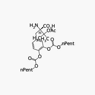 CCCCCOC(=O)Oc1ccc(C[C@@](N)(C(=O)O)C(C)(C)OC(C)=O)cc1OC(=O)OCCCCC